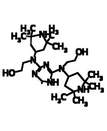 CC1(C)CC(N(CCO)C2=N[CH]NC(N(CCO)C3CC(C)(C)NC(C)(C)C3)=N2)CC(C)(C)N1